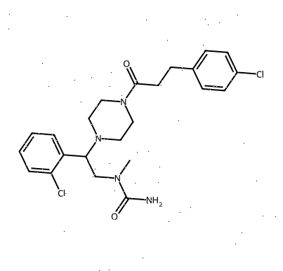 CN(CC(c1ccccc1Cl)N1CCN(C(=O)[CH]Cc2ccc(Cl)cc2)CC1)C(N)=O